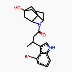 CC(CC(=O)N1C2CC3CC1CC(O)(C3)C2)c1c[nH]c2cccc(Br)c12